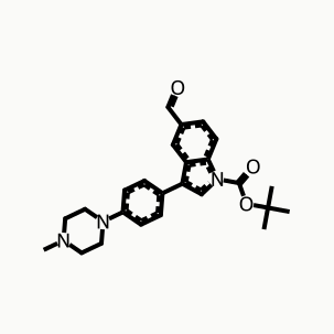 CN1CCN(c2ccc(-c3cn(C(=O)OC(C)(C)C)c4ccc(C=O)cc34)cc2)CC1